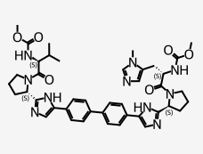 COC(=O)N[C@@H](Cc1cncn1C)C(=O)N1CCC[C@H]1c1ncc(-c2ccc(-c3ccc(-c4cnc([C@@H]5CCCN5C(=O)[C@@H](NC(=O)OC)C(C)C)[nH]4)cc3)cc2)[nH]1